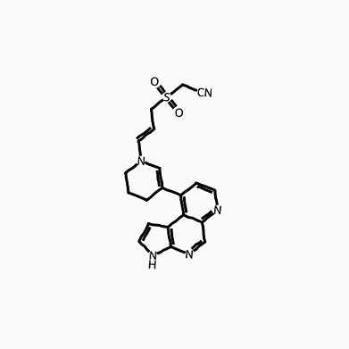 N#CCS(=O)(=O)CC=CN1C=C(c2ccnc3cnc4[nH]ccc4c23)CCC1